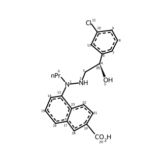 CCCN(NC[C@H](O)c1cccc(Cl)c1)c1cccc2cc(C(=O)O)ccc12